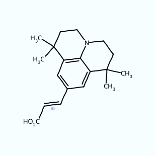 CC1(C)CCN2CCC(C)(C)c3cc(/C=C/C(=O)O)cc1c32